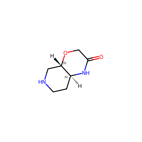 O=C1CO[C@H]2CNCC[C@@H]2N1